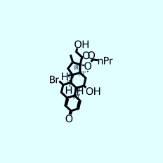 CCCC(=O)O[C@]1(C(=O)CO)C(C)C[C@H]2[C@@H]3C(Br)CC4=CC(=O)C=C[C@]4(C)[C@H]3C(O)C[C@@]21C